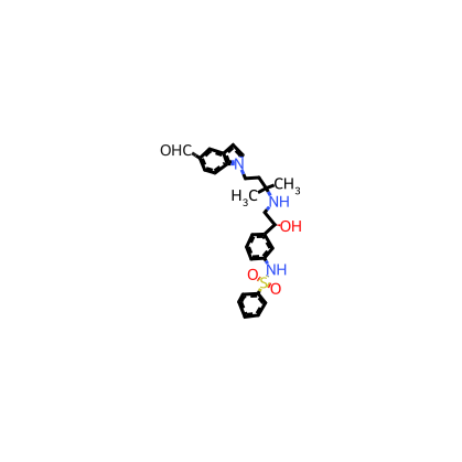 CC(C)(CCn1ccc2cc(C=O)ccc21)NC[C@H](O)c1cccc(NS(=O)(=O)c2ccccc2)c1